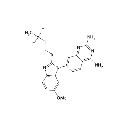 COc1ccc2nc(SCCC(C)(F)F)n(-c3ccc4c(N)nc(N)nc4c3)c2c1